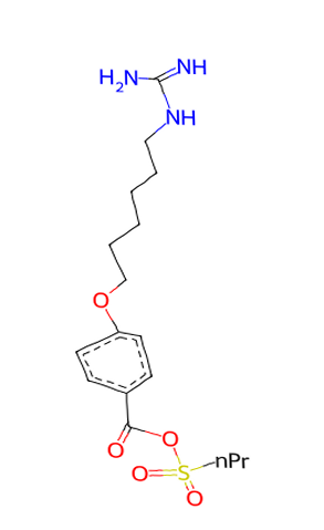 CCCS(=O)(=O)OC(=O)c1ccc(OCCCCCCNC(=N)N)cc1